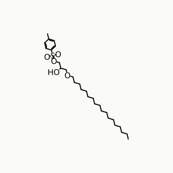 CCCCCCCCCCCCCCCCCCOCC(O)COS(=O)(=O)c1ccc(C)cc1